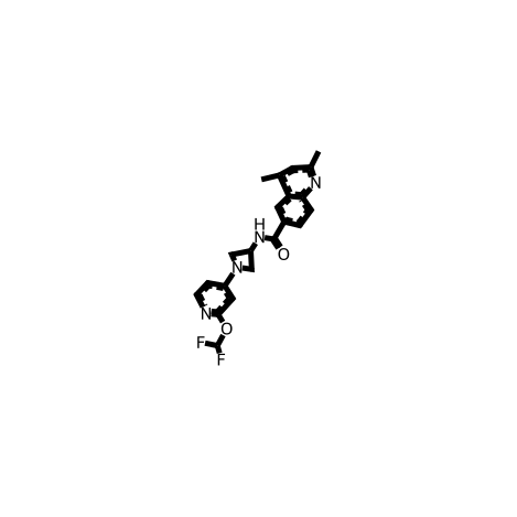 Cc1cc(C)c2cc(C(=O)NC3CN(c4ccnc(OC(F)F)c4)C3)ccc2n1